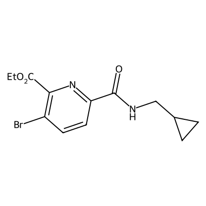 CCOC(=O)c1nc(C(=O)NCC2CC2)ccc1Br